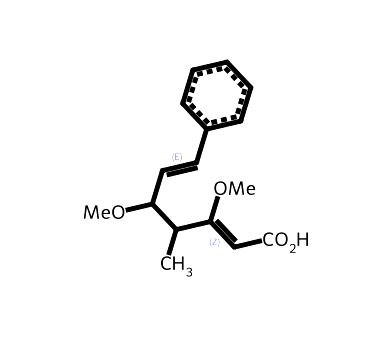 CO/C(=C\C(=O)O)C(C)C(/C=C/c1ccccc1)OC